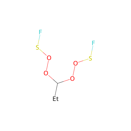 CCC(OOSF)OOSF